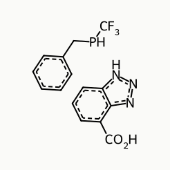 FC(F)(F)PCc1ccccc1.O=C(O)c1cccc2[nH]nnc12